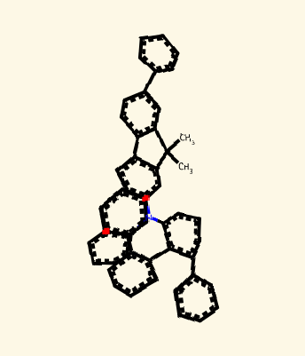 CC1(C)c2cc(-c3ccccc3)ccc2-c2ccc(N(c3ccccc3)c3cccc(-c4ccccc4)c3-c3ccccc3-c3ccccc3)cc21